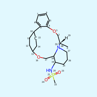 C[C@H]1COc2ccccc2C2CCC(CC2)OCC2C(NS(C)(=O)=O)CCCN21